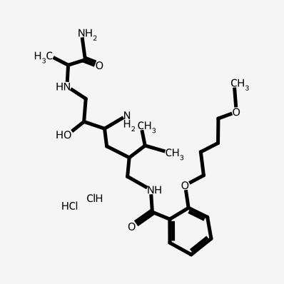 COCCCCOc1ccccc1C(=O)NCC(CC(N)C(O)CNC(C)C(N)=O)C(C)C.Cl.Cl